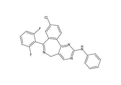 Fc1cccc(F)c1C1=NCc2cnc(Nc3cc[c]cc3)nc2-c2ccc(Cl)cc21